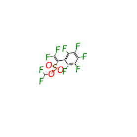 O=S(=O)(OC(F)F)C(=C(F)F)c1c(F)c(F)c(F)c(F)c1F